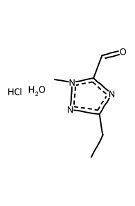 CCc1nc(C=O)n(C)n1.Cl.O